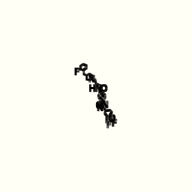 O=C(NCCCN1CCC(Cc2ccccc2F)CC1)N1CCN(c2nc(-c3ccc(OC(F)(F)F)cc3)no2)CC1